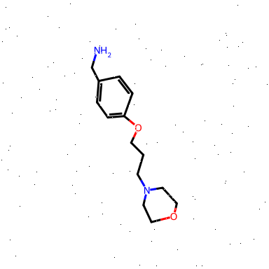 NCc1ccc(OCCCN2CCOCC2)cc1